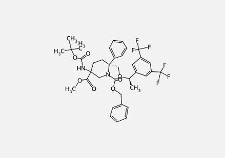 COC(=O)C1(NC(=O)OC(C)(C)C)CC[C@@](CO[C@H](C)c2cc(C(F)(F)F)cc(C(F)(F)F)c2)(c2ccccc2)N(C(=O)OCc2ccccc2)C1